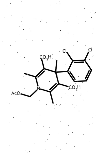 CC(=O)OCN1C(C)=C(C(=O)O)C(C)(c2cccc(Cl)c2Cl)C(C(=O)O)=C1C